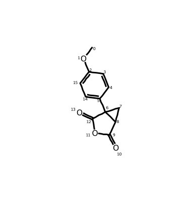 COc1ccc(C23CC2C(=O)OC3=O)cc1